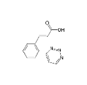 O=C(O)C=Cc1ccccc1.c1cnnnc1